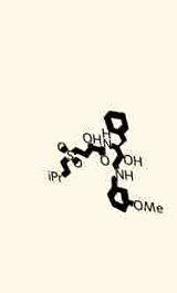 COc1cccc(CNC[C@@H](O)[C@H](Cc2ccccc2)NC(=O)C(O)CCS(=O)(=O)CCC(C)C)c1